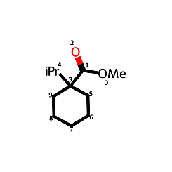 COC(=O)C1(C(C)C)CCCCC1